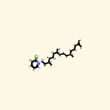 CC(C)CCCC(C)CCCC(C)CCCC(C)CC[n+]1ccccc1Cl